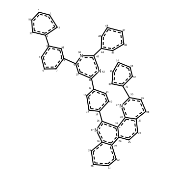 c1ccc(-c2cccc(-c3cc(-c4ccc(-c5nc6ccccc6c6ccc7ccc(-c8ccccc8)nc7c56)cc4)nc(-c4ccccc4)n3)c2)cc1